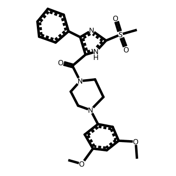 COc1cc(OC)cc(N2CCN(C(=O)c3[nH]c(S(C)(=O)=O)nc3-c3ccccc3)CC2)c1